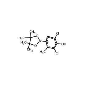 Cc1c(B2OC(C)(C)C(C)(C)O2)cc(Cl)c(O)c1Cl